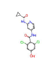 O=C(Nc1ccnc(NC(=O)C2CC2)c1)c1c(Cl)cc(O)cc1Cl